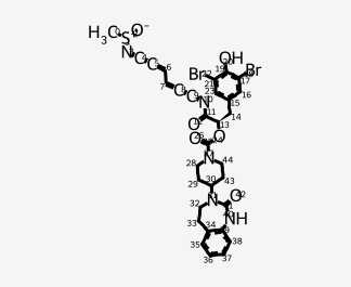 C[S+]([O-])N=C=C=CC=C=C=NC(=O)[C@@H](Cc1cc(Br)c(O)c(Br)c1)OC(=O)N1CCC(N2CCc3ccccc3NC2=O)CC1